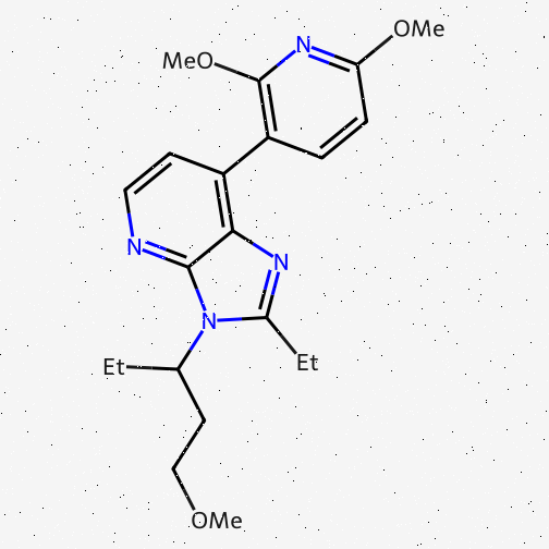 CCc1nc2c(-c3ccc(OC)nc3OC)ccnc2n1C(CC)CCOC